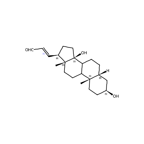 C[C@]12CC[C@H](O)C[C@H]1CCC1C2CC[C@]2(C)[C@@H](/C=C/C=O)CC[C@]12O